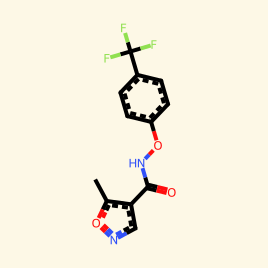 Cc1oncc1C(=O)NOc1ccc(C(F)(F)F)cc1